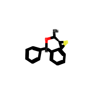 CC(C)(C)C(O[SiH](c1ccccc1)c1ccccc1)[C@H]1CS1